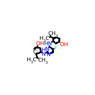 CC(C)c1ccc(O)cc1Nc1ncc(F)c(Nc2cc(O)ccc2C(C)C)n1